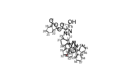 CCCc1nc(C(C)(C)O)c(C(=O)OC2OC(=O)c3ccccc32)n1Cc1ccc(-c2ccccc2-c2nnnn2C(c2ccccc2)(c2ccccc2)c2ccccc2)cc1